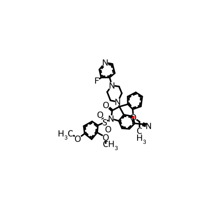 CCOc1ccccc1C1(N2CCN(c3ccncc3F)CC2)C(=O)N(S(=O)(=O)c2ccc(OC)cc2OC)c2ccc(C#N)cc21